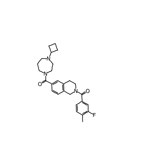 Cc1ccc(C(=O)N2CCc3cc(C(=O)N4CCCN(C5CCC5)CC4)ccc3C2)cc1F